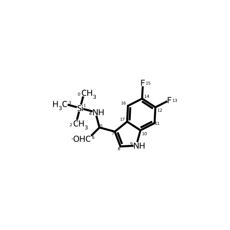 C[Si](C)(C)NC([C]=O)c1c[nH]c2cc(F)c(F)cc12